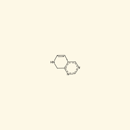 C1=Cc2cncnc2CN1